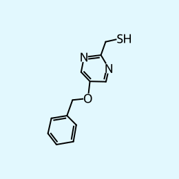 SCc1ncc(OCc2ccccc2)cn1